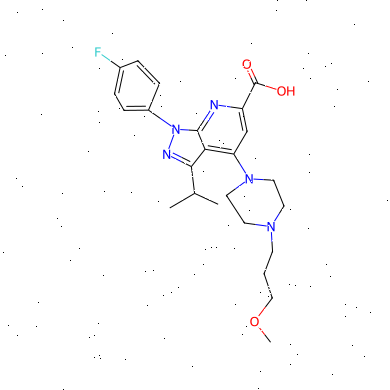 COCCCN1CCN(c2cc(C(=O)O)nc3c2c(C(C)C)nn3-c2ccc(F)cc2)CC1